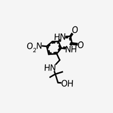 CC(C)(CO)NCc1cc([N+](=O)[O-])cc2[nH]c(=O)c(=O)[nH]c12